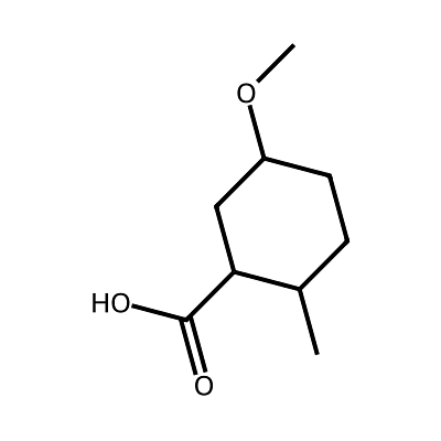 COC1CCC(C)C(C(=O)O)C1